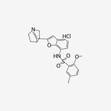 COc1ccc(C)cc1S(=O)(=O)Nc1cccc2cc(C3=CN4CCC3CC4)oc12.Cl